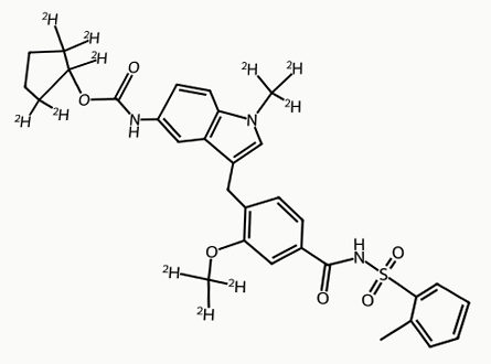 [2H]C([2H])([2H])Oc1cc(C(=O)NS(=O)(=O)c2ccccc2C)ccc1Cc1cn(C([2H])([2H])[2H])c2ccc(NC(=O)OC3([2H])C([2H])([2H])CCC3([2H])[2H])cc12